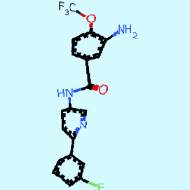 Nc1cc(C(=O)Nc2ccc(-c3cccc(F)c3)nc2)ccc1OC(F)(F)F